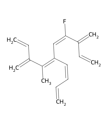 C=C\C=C/C(/C=C(/F)C(=C)C=C)=C(\C)C(=C)C=C